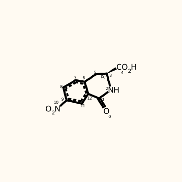 O=C1N[C@H](C(=O)O)Cc2ccc([N+](=O)[O-])cc21